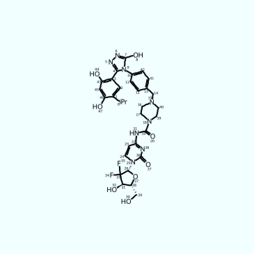 CC(C)c1cc(-c2nnc(O)n2-c2ccc(CN3CCN(C(=O)Nc4ccn([C@@H]5O[C@H](CO)[C@@H](O)C5(F)F)c(=O)n4)CC3)cc2)c(O)cc1O